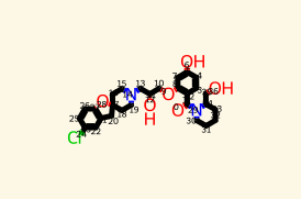 O=C(c1ccc(O)cc1OC[C@@H](O)CN1CCC2(CC1)Cc1cc(Cl)ccc1O2)N1CCCCC1CO